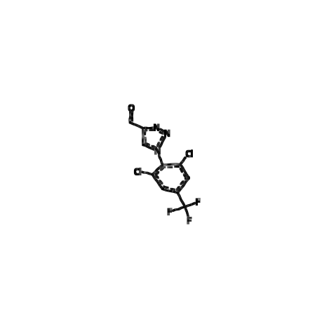 O=Cc1cn(-c2c(Cl)cc(C(F)(F)F)cc2Cl)nn1